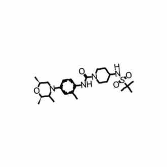 Cc1cc(N2C[C@H](C)O[C@H](C)C2C)ccc1NC(=O)N1CCC(NS(=O)(=O)C(C)(C)C)CC1